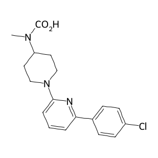 CN(C(=O)O)C1CCN(c2cccc(-c3ccc(Cl)cc3)n2)CC1